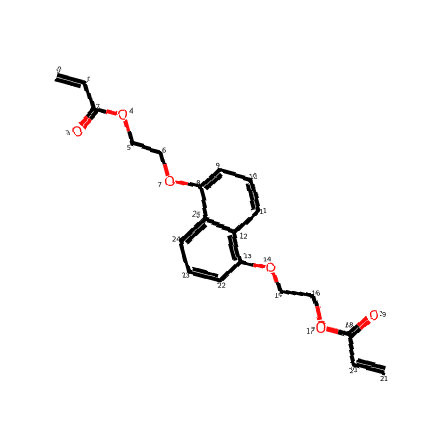 C=CC(=O)OCCOc1cccc2c(OCCOC(=O)C=C)cccc12